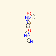 O[C@@H]1CCCC[C@H]1Nc1nc2ccc(Oc3ccnc(-c4cccnc4)n3)cc2s1